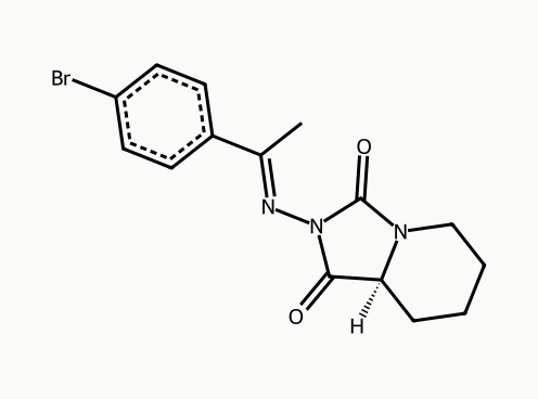 C/C(=N\N1C(=O)[C@@H]2CCCCN2C1=O)c1ccc(Br)cc1